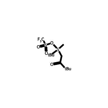 CC(C)(C)C(=O)CS(C)(OS(=O)(=O)C(F)(F)F)C(C)(C)C